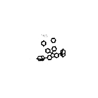 CC12CC3CC(C)(C1)CC(c1ccc4c(c1)C(c1ccc(Oc5ccc(C(=O)O)cc5)cc1)(c1ccc(Oc5ccc(C(=O)O)cc5)cc1)c1cc(C56CC7CC(C)(CC(C)(C7)C5)C6)ccc1-4)(C3)C2.Cl.Cl